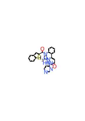 CN1NC2OC2(Nc2ccncn2)C=C1c1ccccc1NC(=O)c1cc2ccccc2s1